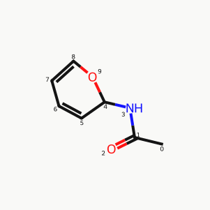 CC(=O)NC1C=CC=CO1